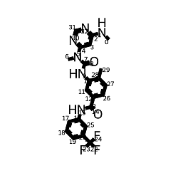 CNc1cc(N(C)C(=O)Nc2cc(C(=O)Nc3cccc(C(F)(F)F)c3)ccc2C)ncn1